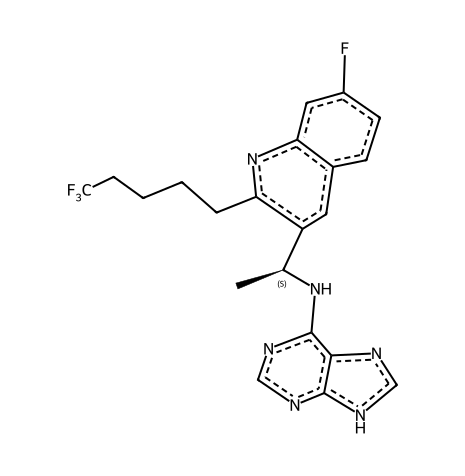 C[C@H](Nc1ncnc2[nH]cnc12)c1cc2ccc(F)cc2nc1CCCCC(F)(F)F